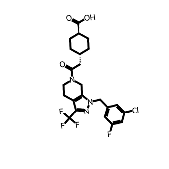 O=C(C[C@H]1CC[C@H](C(=O)O)CC1)N1CCc2c(C(F)(F)F)nn(Cc3cc(F)cc(Cl)c3)c2C1